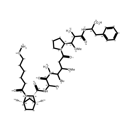 CCC(C)C(C(CC(=O)N1CCC[C@H]1C(OC)C(C)C(=O)NC(Cc1ccccc1)C(=O)O)OC)N(C)C(=O)C(NC(=O)[C@@H]1[C@H]2CC[C@H](C2)N1C(=O)CCCCCON)C(C)C